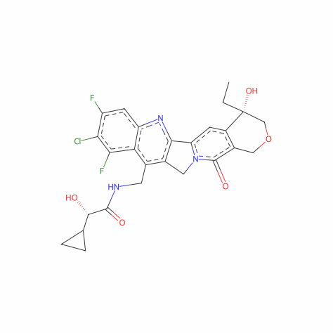 CC[C@@]1(O)COCc2c1cc1n(c2=O)Cc2c-1nc1cc(F)c(Cl)c(F)c1c2CNC(=O)[C@@H](O)C1CC1